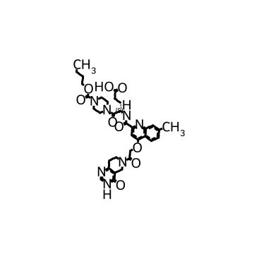 CCCCOC(=O)N1CCN(C(=O)[C@H](CCC(=O)O)NC(=O)c2cc(OCC(=O)N3CCc4nc[nH]c(=O)c4C3)c3ccc(C)cc3n2)CC1